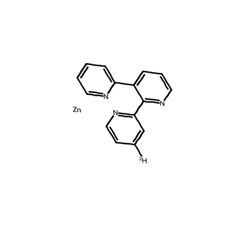 [2H]c1ccnc(-c2ncccc2-c2ccccn2)c1.[Zn]